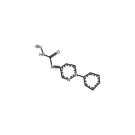 CC(C)(C)NC(=O)/N=c1\ccn(-c2ccccc2)nc1